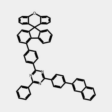 c1ccc(-c2nc(-c3ccc(-c4ccc5ccccc5c4)cc3)nc(-c3ccc(-c4cccc5c4-c4ccccc4C54c5ccccc5Oc5ccccc54)cc3)n2)cc1